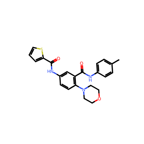 Cc1ccc(NC(=O)c2cc(NC(=O)c3cccs3)ccc2N2CCOCC2)cc1